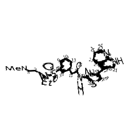 CCN(CCNC)S(=O)(=O)c1cccc(CC(=O)Nc2nc(-c3c[nH]c4ncccc34)cs2)c1